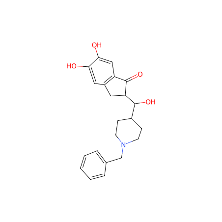 O=C1c2cc(O)c(O)cc2CC1C(O)C1CCN(Cc2ccccc2)CC1